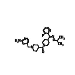 CC(C)ON=C(c1ncccc1F)C1CCN(C(=O)C2CCN(Cc3ccnc(N)c3)CC2)CC1